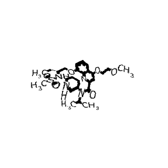 CC[C@H](COc1cccc2c(OCCOC)cc(C(=O)N(C(C)C)[C@@H]3CCCNC3)nc12)NS(C)(=O)=O